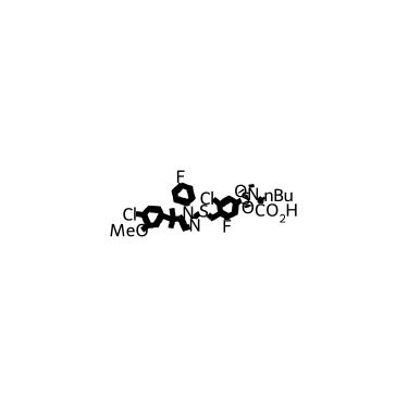 CCCC[C@@H](C(=O)O)N(C)S(=O)(=O)c1cc(F)c(CSc2ncc(C(C)(C)c3ccc(Cl)c(OC)c3)n2-c2ccc(F)cc2)c(Cl)c1